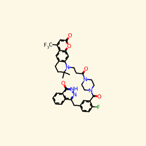 CC1(C)CCc2cc3c(C(F)(F)F)cc(=O)oc3cc2N1CCC(=O)N1CCN(C(=O)c2cc(Cc3n[nH]c(=O)c4ccccc34)ccc2F)CC1